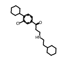 O=C(CCNCCC1CCCCC1)c1ccc(C2CCCCC2)c(Cl)c1